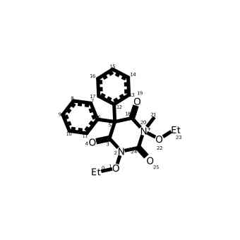 CCON1C(=O)C(c2ccccc2)(c2ccccc2)C(=O)[N+](C)(OCC)C1=O